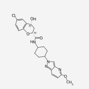 COc1ccc2nn(C3CCC(NC(=O)[C@H]4C[C@@H](O)c5cc(Cl)ccc5O4)CC3)cc2n1